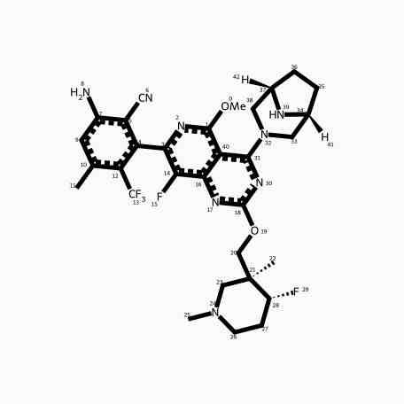 COc1nc(-c2c(C#N)c(N)cc(C)c2C(F)(F)F)c(F)c2nc(OC[C@]3(C)CN(C)CC[C@H]3F)nc(N3C[C@H]4CC[C@@H](C3)N4)c12